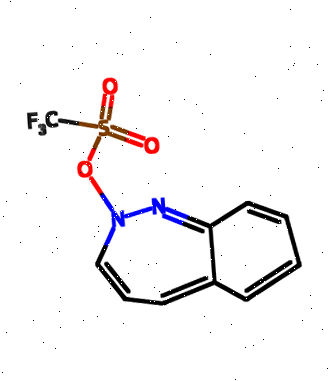 O=S(=O)(ON1C=CC=c2ccccc2=N1)C(F)(F)F